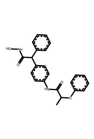 CC(Oc1ccccc1)C(=O)Nc1ccc(C(C(=O)NO)c2ccccc2)cc1